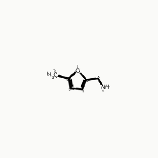 Cc1ccc(C[NH])o1